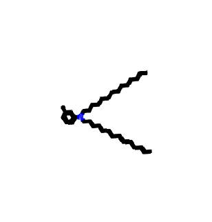 CCCCCCCCCCCCCCN(CCCCCCCCCCCCCC)c1cccc(C)c1